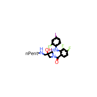 CCCCCNCC1(O)CN(C(=O)c2ccc(F)c(F)c2Nc2ccc(I)cc2F)C1